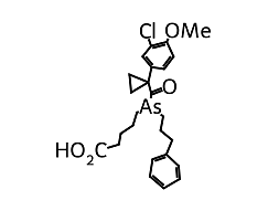 COc1ccc(C2(C(=O)[As](CCCCC(=O)O)CCCc3ccccc3)CC2)cc1Cl